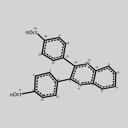 CCCCCCCCc1ccc(-c2nc3ccccc3nc2-c2ccc(CCCCCCCC)cc2)cc1